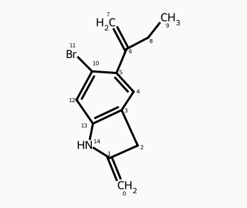 C=C1Cc2cc(C(=C)CC)c(Br)cc2N1